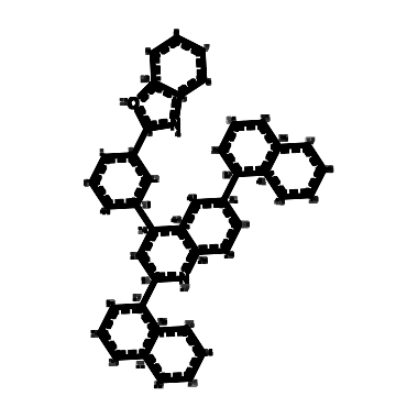 c1cc(-c2nc3ccccc3o2)cc(-c2cc(-c3cccc4ccccc34)nc3ccc(-c4cccc5ccccc45)cc23)c1